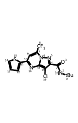 CC(C)(C)NC(=O)c1nn2c(C(F)(F)F)cc(-c3cccs3)nc2c1Cl